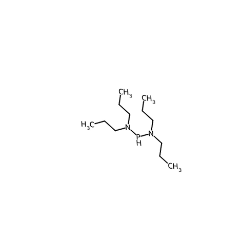 CCCN(CCC)PN(CCC)CCC